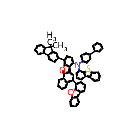 CC1(C)c2ccccc2-c2ccc(-c3ccc(N(c4ccc(-c5ccccc5)cc4)c4cccc5c4sc4ccccc45)c4c3oc3c5ccccc5c(-c5cccc6c5oc5ccccc56)cc34)cc21